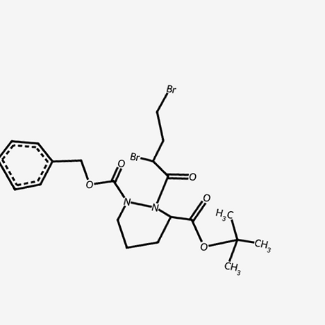 CC(C)(C)OC(=O)C1CCCN(C(=O)OCc2ccccc2)N1C(=O)C(Br)CCBr